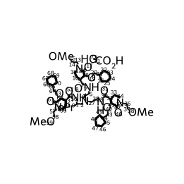 CCCC(CN(CCNC(=O)c1ccn(CCOC)c(=O)c1OCc1ccccc1)CCNC(=O)c1ccn(CCOC)c(=O)c1OCc1ccccc1)NC(=O)c1ccn(CCOC)c(=O)c1OCc1ccccc1.O=C(O)O